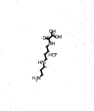 Cl.NCCCNCCCCNC(=O)C(O)O